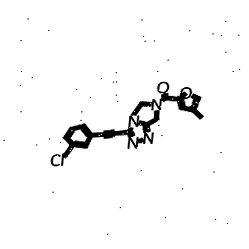 Cc1coc(C(=O)N2CCn3c(C#Cc4cccc(Cl)c4)nnc3C2)c1